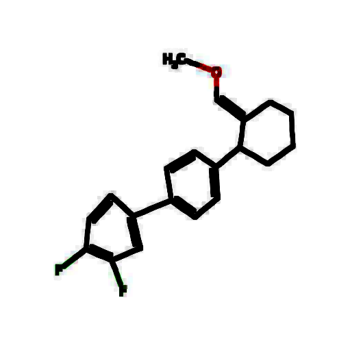 COC=C1CCCCC1c1ccc(-c2ccc(F)c(F)c2)cc1